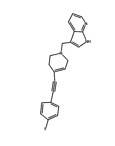 Fc1ccc(C#CC2=CCN(Cc3c[nH]c4ncccc34)CC2)cc1